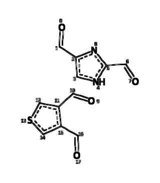 O=Cc1c[nH]c(C=O)n1.O=Cc1cscc1C=O